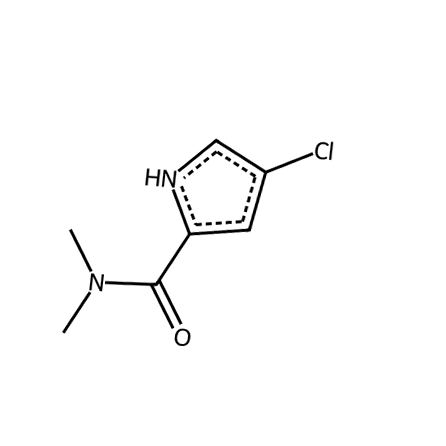 CN(C)C(=O)c1cc(Cl)c[nH]1